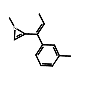 CC=C(C1=CN1C)c1cccc(C)c1